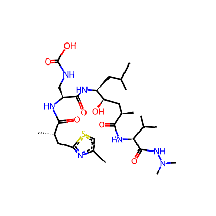 Cc1csc(C[C@H](C)C(=O)N[C@@H](CNC(=O)O)C(=O)N[C@@H](CC(C)C)[C@H](O)C[C@@H](C)C(=O)N[C@H](C(=O)NN(C)C)C(C)C)n1